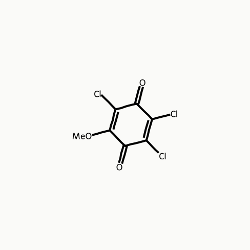 COC1=C(Cl)C(=O)C(Cl)=C(Cl)C1=O